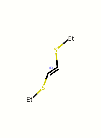 CCS/C=C/SCC